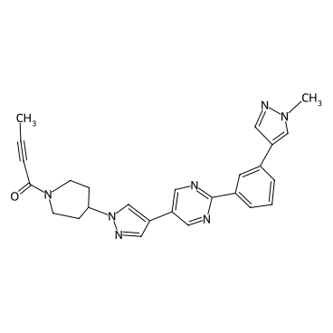 CC#CC(=O)N1CCC(n2cc(-c3cnc(-c4cccc(-c5cnn(C)c5)c4)nc3)cn2)CC1